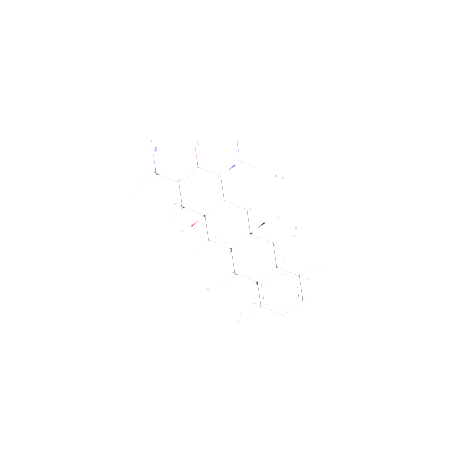 CN(C)[C@@H]1C(O)=C(C(N)=O)C(=O)[C@@]2(O)C(O)=C3C(=O)c4c(O)ccc(Cl)c4[C@@H](O)[C@H]3C[C@H]12.Cl